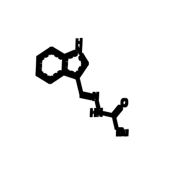 CCC(C)C(=O)N/N=C/c1c[nH]c2ccccc12